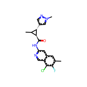 Cc1cc2cc(NC(=O)[C@H]3C(C)[C@@H]3c3cnn(C)c3)ncc2c(Cl)c1F